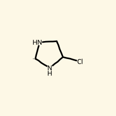 ClC1CN[CH]N1